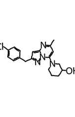 Cc1cc(N2CCCC(O)C2)n2nc(Cc3ccc(Cl)cc3)cc2n1